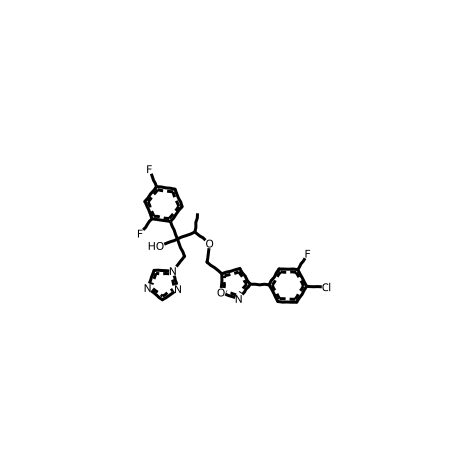 CC(OCc1cc(-c2ccc(Cl)c(F)c2)no1)C(O)(Cn1cncn1)c1ccc(F)cc1F